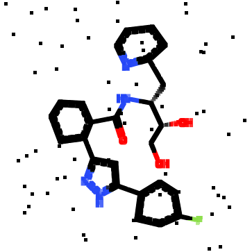 O=C(N[C@H](Cc1ccccn1)[C@H](O)CO)c1ccccc1-c1cc(-c2ccc(F)cc2)[nH]n1